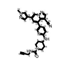 C#CCNC(=O)N1CCC(Nc2ccc(-c3cc(-c4cnn(C)c4)cn4ncc(C#N)c34)cn2)CC1